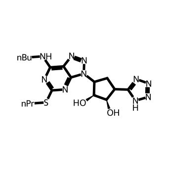 CCCCNc1nc(SCCC)nc2c1nnn2C1CC(c2nnn[nH]2)[C@@H](O)[C@H]1O